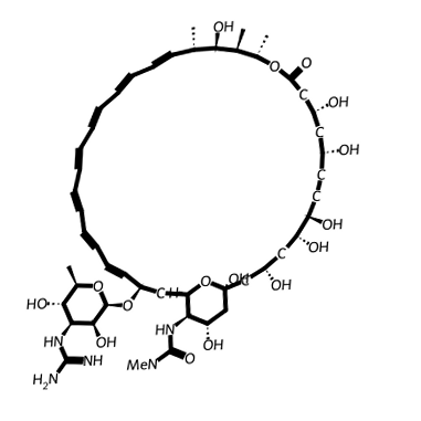 CNC(=O)N[C@H]1[C@@H]2C[C@@H](O[C@@H]3O[C@H](C)[C@@H](O)[C@H](NC(=N)N)[C@@H]3O)/C=C/C=C/C=C/C=C/C=C/C=C/C=C/[C@H](C)[C@@H](O)[C@@H](C)[C@H](C)OC(=O)C[C@H](O)C[C@H](O)CC[C@@H](O)[C@H](O)C[C@H](O)C[C@](O)(C[C@@H]1O)O2